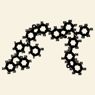 c1ccc(N(c2cccc(C3Cc4ccccc4-c4ccccc43)c2)c2ccc3oc4ccc(-c5ccc6sc7c(N(c8ccccc8)c8ccc(-c9ccc%10oc%11ccccc%11c%10c9)cc8)cccc7c6c5)cc4c3c2)cc1